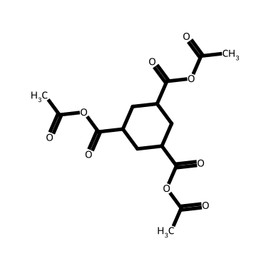 CC(=O)OC(=O)C1CC(C(=O)OC(C)=O)CC(C(=O)OC(C)=O)C1